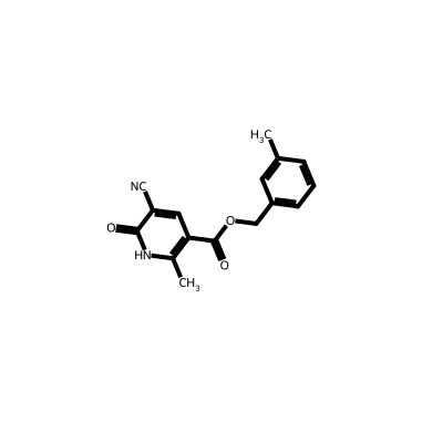 Cc1cccc(COC(=O)c2cc(C#N)c(=O)[nH]c2C)c1